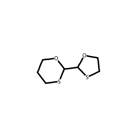 C1COC(C2OCCS2)SC1